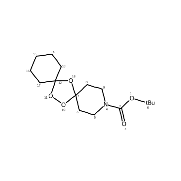 CC(C)(C)OC(=O)N1CCC2(CC1)OOC1(CCCCC1)O2